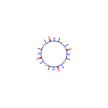 CC1CN(C)C(=O)NC(C)CN(C)C(=O)NC(C)CN(C)C(=O)NC(C)CN(C)C(=O)N1